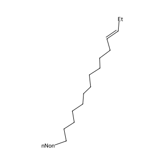 CC/C=C/CCCCCCCCCCCCCCCCCCCC